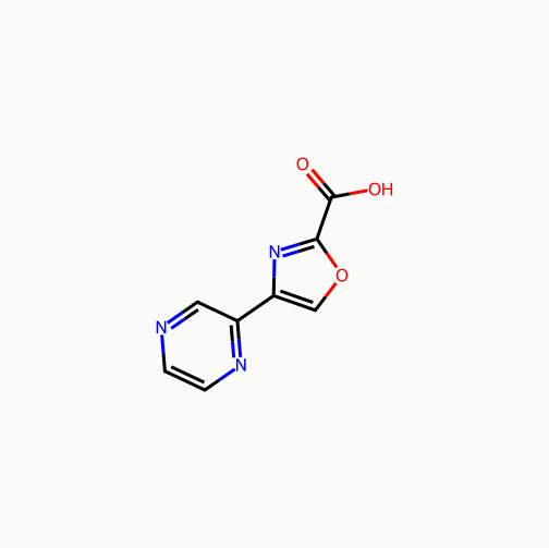 O=C(O)c1nc(-c2cnccn2)co1